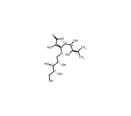 CC(C)=C(O)[C@H](O)[C@H]1OC(=O)C(O)=C1OC[C@H](O)[C@H](O)[C@H](O)CO